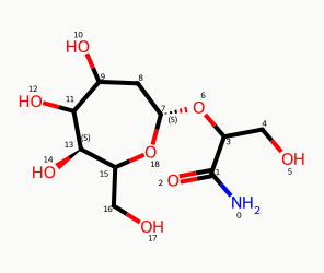 NC(=O)C(CO)O[C@H]1CC(O)C(O)[C@H](O)C(CO)O1